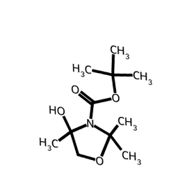 CC(C)(C)OC(=O)N1C(C)(O)COC1(C)C